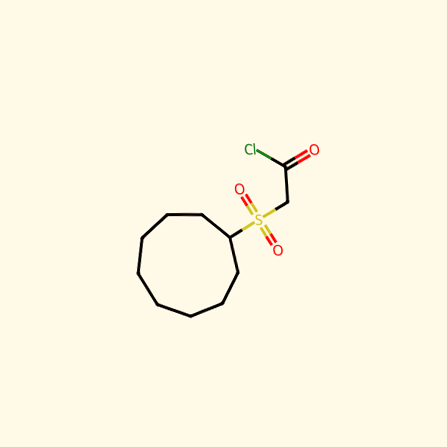 O=C(Cl)CS(=O)(=O)C1CCCCCCCC1